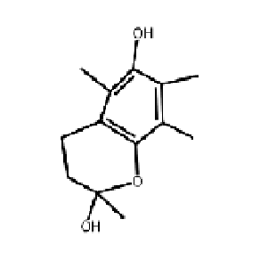 Cc1c(C)c2c(c(C)c1O)CCC(C)(O)O2